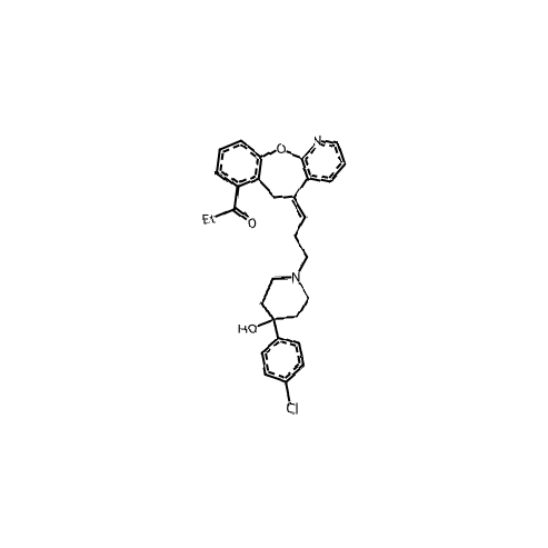 CCC(=O)c1cccc2c1CC(=CCCN1CCC(O)(c3ccc(Cl)cc3)CC1)c1cccnc1O2